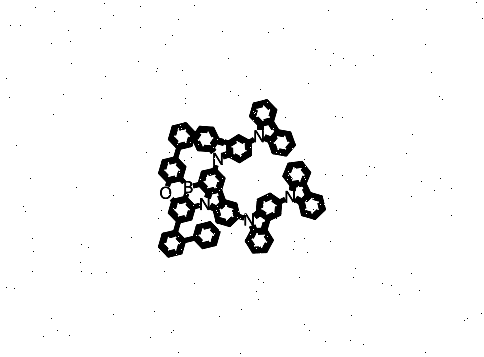 c1ccc(-c2ccc3c(c2)B2c4c(cc(-c5ccccc5-c5ccccc5)cc4-n4c5ccc(-n6c7ccccc7c7cc(-n8c9ccccc9c9ccccc98)ccc76)cc5c5cc(-n6c7ccccc7c7cc(-n8c9ccccc9c9ccccc98)ccc76)cc2c54)O3)cc1